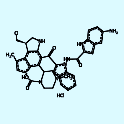 Cc1csc2c(C3CN(C)CCN3C(=O)O)c(C(=O)c3cc4ccccc4n3NC(=O)c3cc4cc(N)ccc4[nH]3)c3c(c12)[C@@H](CCl)CN3.Cl